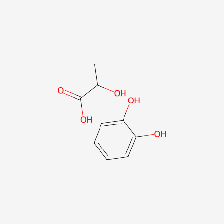 CC(O)C(=O)O.Oc1ccccc1O